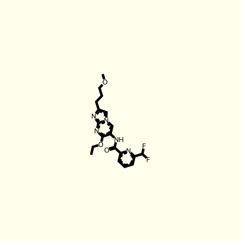 CCOc1nc2nc(CCCOC)cn2cc1NC(=O)c1cccc(C(F)F)n1